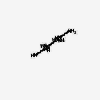 CNCCCCCCNC(=N)NCCCCCCNC(=N)NCCCCCCN